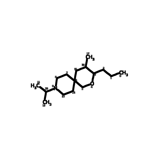 CCCC1OCC2(CCN(C(C)C)CC2)CC1C